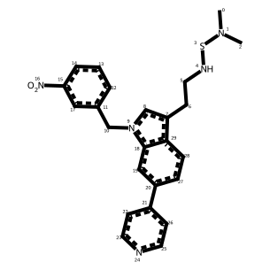 CN(C)SNCCc1cn(Cc2cccc([N+](=O)[O-])c2)c2cc(-c3ccncc3)ccc12